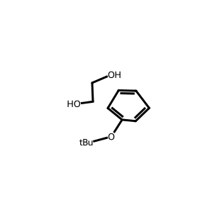 CC(C)(C)Oc1ccccc1.OCCO